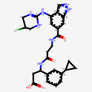 O=C(O)CC(NC(=O)CCNC(=O)c1cc(NC2=NCC(F)CN2)c2cn[nH]c2c1)c1cccc(C2CC2)c1